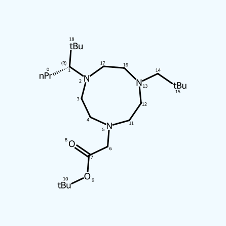 CCC[C@@H](N1CCN(CC(=O)OC(C)(C)C)CCN(CC(C)(C)C)CC1)C(C)(C)C